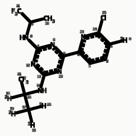 [2H]c1ccc(-c2nc(NC(C)C(F)(F)F)nc(NC([2H])(C([2H])([2H])[2H])C(F)(F)F)n2)nc1Cl